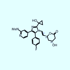 CNc1cc(-c2nc(C3(O)CC3)n(/C=C/[C@@H]3C[C@@H](O)CC(=O)O3)c2-c2ccc(F)cc2)ccn1